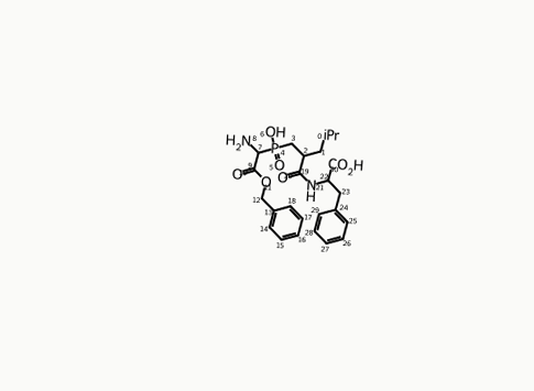 CC(C)CC(CP(=O)(O)C(N)C(=O)OCc1ccccc1)C(=O)NC(Cc1ccccc1)C(=O)O